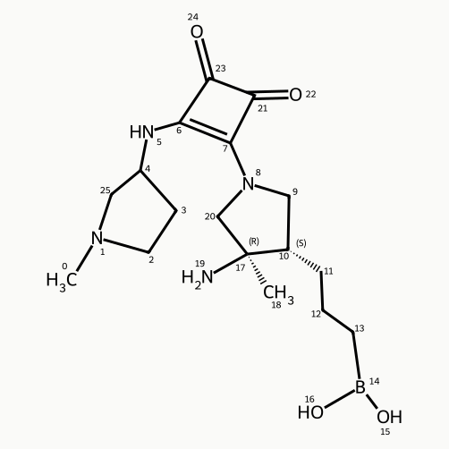 CN1CCC(Nc2c(N3C[C@H](CCCB(O)O)[C@@](C)(N)C3)c(=O)c2=O)C1